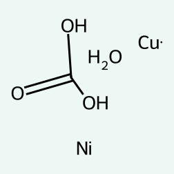 O.O=C(O)O.[Cu].[Ni]